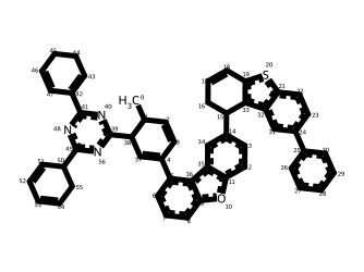 CC1C=CC(c2cccc3oc4ccc(C5CC=Cc6sc7ccc(-c8ccccc8)cc7c65)cc4c23)=CC1c1nc(C2=CCCC=C2)nc(C2C=CC=CC2)n1